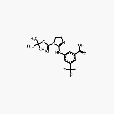 CC(C)(C)OC(=O)N1CCN=C1Nc1cc(C(=O)O)cc(C(F)(F)F)c1